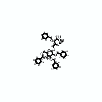 C[C@@H](O)[C@@H](OCc1ccccc1)C(CO[C@H]1OC2COC(c3ccccc3)O[C@@H]2C(OCc2ccccc2)C1OCc1ccccc1)N=[N+]=[N-]